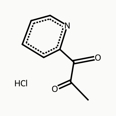 CC(=O)C(=O)c1ccccn1.Cl